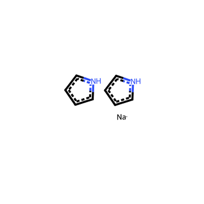 [Na].c1cc[nH]c1.c1cc[nH]c1